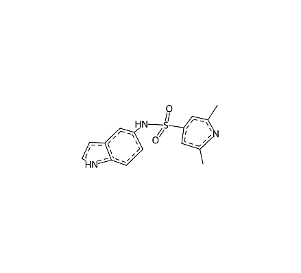 Cc1cc(S(=O)(=O)Nc2ccc3[nH]ccc3c2)cc(C)n1